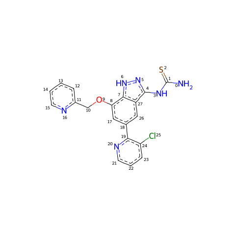 NC(=S)Nc1n[nH]c2c(OCc3ccccn3)cc(-c3ncccc3Cl)cc12